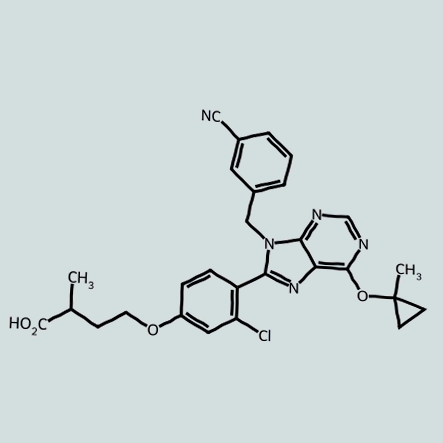 CC(CCOc1ccc(-c2nc3c(OC4(C)CC4)ncnc3n2Cc2cccc(C#N)c2)c(Cl)c1)C(=O)O